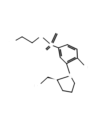 CCCOS(=O)(=O)c1ccc(C)c(N2CCC[C@H]2CO)c1